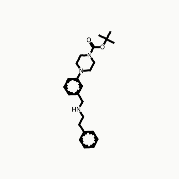 CC(C)(C)OC(=O)N1CCN(c2cccc(CNCCc3ccccc3)c2)CC1